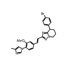 COc1cc(/C=C/c2nc3n(n2)CCCC3c2ccc(Br)cc2)ccc1-n1cnc(C)c1